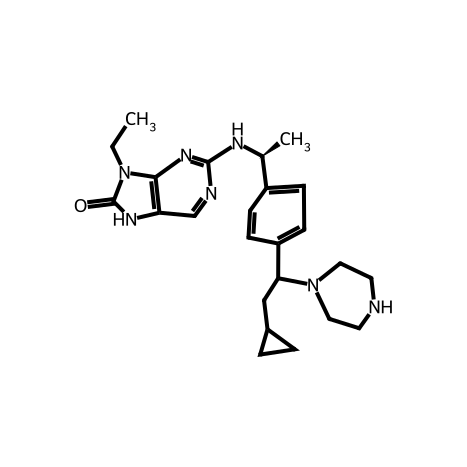 CCn1c(=O)[nH]c2cnc(N[C@@H](C)c3ccc(C(CC4CC4)N4CCNCC4)cc3)nc21